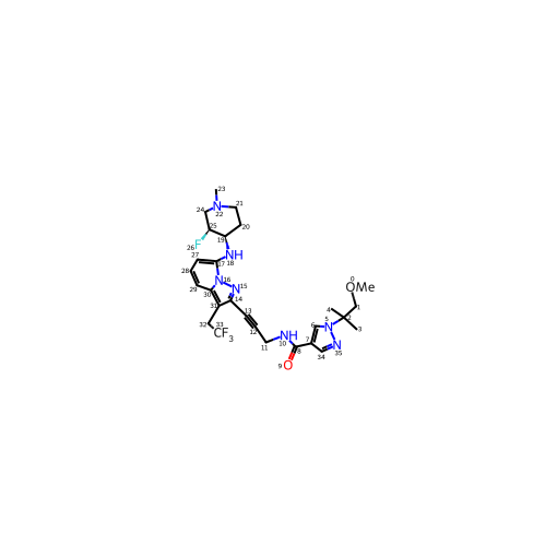 COCC(C)(C)n1cc(C(=O)NCC#Cc2nn3c(N[C@@H]4CCN(C)C[C@@H]4F)cccc3c2CC(F)(F)F)cn1